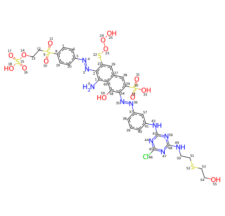 Nc1c(/N=N/c2ccc(S(=O)(=O)CCOS(=O)(=O)O)cc2)c(SOOO)cc2cc(S(=O)(=O)O)c(/N=N/c3cccc(Nc4nc(Cl)nc(NCCSCCO)n4)c3)c(O)c12